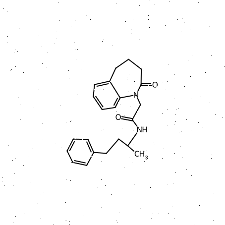 CC(CCc1ccccc1)NC(=O)CN1C(=O)CCCc2ccccc21